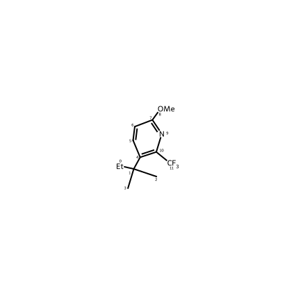 CCC(C)(C)c1ccc(OC)nc1C(F)(F)F